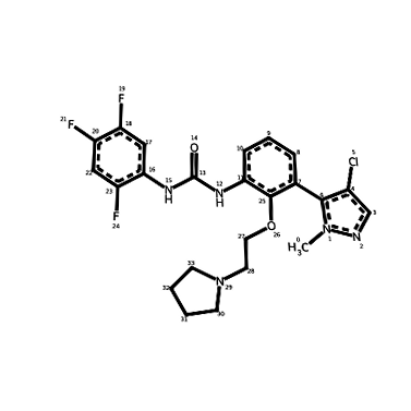 Cn1ncc(Cl)c1-c1cccc(NC(=O)Nc2cc(F)c(F)cc2F)c1OCCN1CCCC1